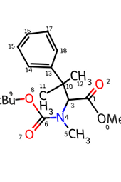 COC(=O)C(N(C)C(=O)OC(C)(C)C)C(C)(C)c1ccccc1